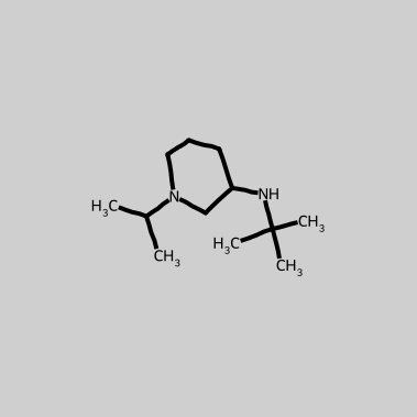 CC(C)N1CCCC(NC(C)(C)C)C1